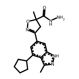 Cc1n[nH]c2cc(C3=NOC(C)(C(=O)NN)C3)cc(C3CCCC3)c12